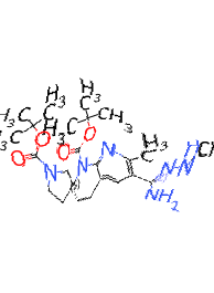 CN/N=C(\N)c1cc2c(nc1C)N(C(=O)OC(C)(C)C)[C@@]1(CC2)CCN(C(=O)OC(C)(C)C)C1